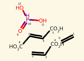 C=C.C=CC(=O)O.O=C(O)C=CC(=O)O.O=[PH](O)O